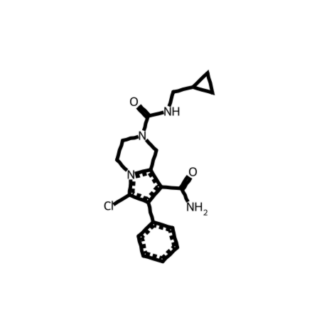 NC(=O)c1c(-c2ccccc2)c(Cl)n2c1CN(C(=O)NCC1CC1)CC2